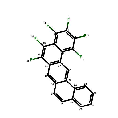 Fc1c(F)c(F)c2c(c1F)c(F)c(F)c1cc3ccc4ccccc4c3cc12